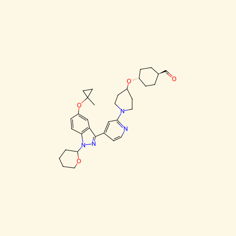 CC1(Oc2ccc3c(c2)c(-c2ccnc(N4CCC(O[C@H]5CC[C@H](C=O)CC5)CC4)c2)nn3C2CCCCO2)CC1